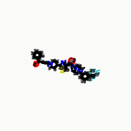 O=C(C#CN1CCC(c2nc(C(=O)N3CCN(c4cccc(C(F)(F)F)c4)CC3)cs2)CC1)c1ccccc1